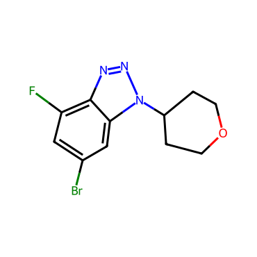 Fc1cc(Br)cc2c1nnn2C1CCOCC1